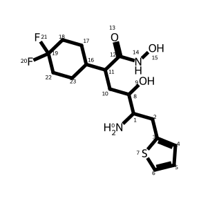 NC(Cc1cccs1)C(O)CC(C(=O)NO)C1CCC(F)(F)CC1